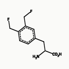 NC(Cc1ccc(CF)c(CF)c1)C(=O)O